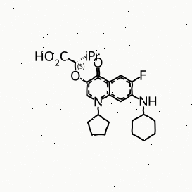 CC(C)[C@H](Oc1cn(C2CCCC2)c2cc(NC3CCCCC3)c(F)cc2c1=O)C(=O)O